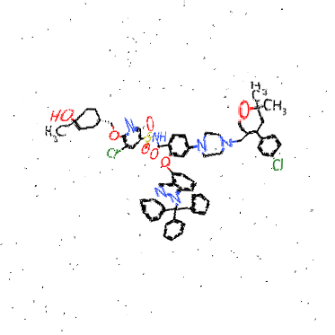 CC1(C)CC(c2ccc(Cl)cc2)=C(CN2CCN(c3ccc(C(=O)NS(=O)(=O)c4cnc(OC[C@H]5CC[C@@](C)(O)CC5)c(Cl)c4)c(Oc4cccc5c4cnn5C(c4ccccc4)(c4ccccc4)c4ccccc4)c3)CC2)CO1